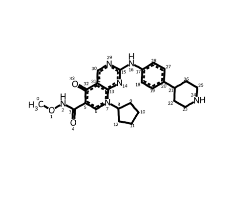 CONC(=O)c1cn(C2CCCC2)c2nc(Nc3ccc(C4CCNCC4)cc3)ncc2c1=O